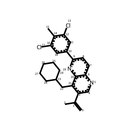 C=C(C)c1cnc2ccc(-c3cc(Cl)c(C)c(Cl)c3)nc2c1CC1CCCCC1